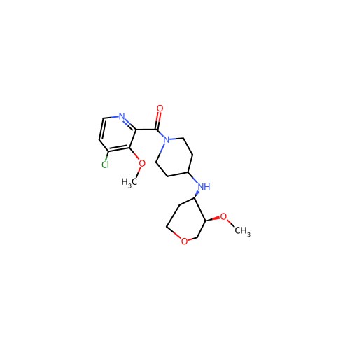 COc1c(Cl)ccnc1C(=O)N1CCC(N[C@@H]2CCOC[C@@H]2OC)CC1